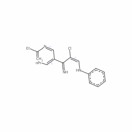 C=C(CC)/N=C\C(=C/CCC)C(=N)/C(Cl)=C\Nc1ccccc1